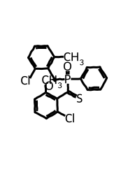 Cc1cccc(Cl)c1C(=O)P(=O)(C(=S)c1c(C)cccc1Cl)c1ccccc1